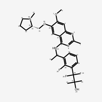 COc1cc2nc(C)nc(NC(C)c3cccc(C(F)(F)C(C)(C)O)c3F)c2cc1OC[C@@H]1CCCN1C